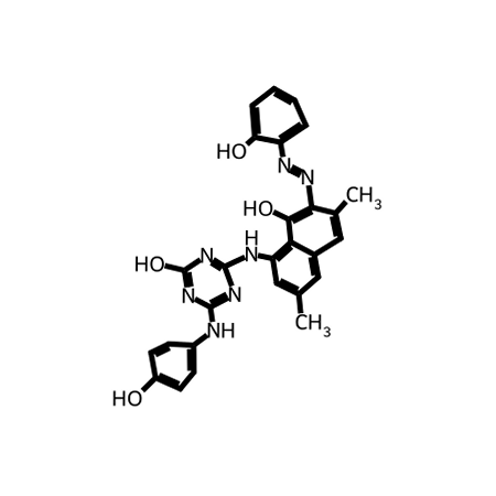 Cc1cc(Nc2nc(O)nc(Nc3ccc(O)cc3)n2)c2c(O)c(N=Nc3ccccc3O)c(C)cc2c1